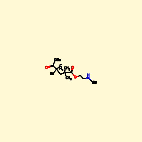 CCC(C)(CC(C)(C)C(=O)OCCNC(C)(C)C)C(=O)OCC(C)C